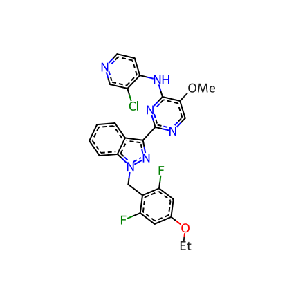 CCOc1cc(F)c(Cn2nc(-c3ncc(OC)c(Nc4ccncc4Cl)n3)c3ccccc32)c(F)c1